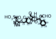 O=COC(C(=O)NC1C(=O)N2C(C(=O)O)=C(CSc3nnnn3CS(=O)(=O)O)CS[C@H]12)c1ccccc1